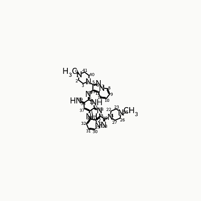 CN1CCN(c2nn3ccccc3c2/N=C2\N/C(=N/c3c(N4CCN(C)CC4)nn4ccccc34)C(N)=CC2=N)CC1